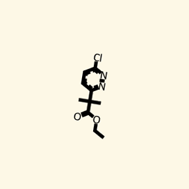 CCOC(=O)C(C)(C)c1ccc(Cl)nn1